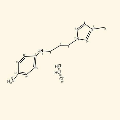 C[n+]1ccn(CCCNc2ccc(N)cc2)c1.Cl.Cl.[Cl-]